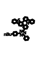 CCCCc1ccc(-c2nc(-c3ccccc3)nc(-c3ccc(-n4c5ccccc5c5cccc(-c6cccc7c6sc6ccccc67)c54)cc3)n2)cc1